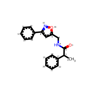 CC(C(=O)NCc1cc(-c2ccccc2)no1)c1ccccc1